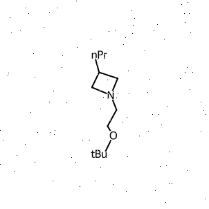 CCCC1CN(CCOC(C)(C)C)C1